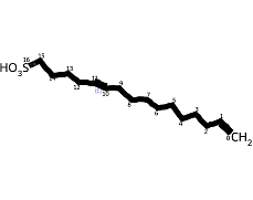 C=CCCCCCCCC/C=C/CCCCS(=O)(=O)O